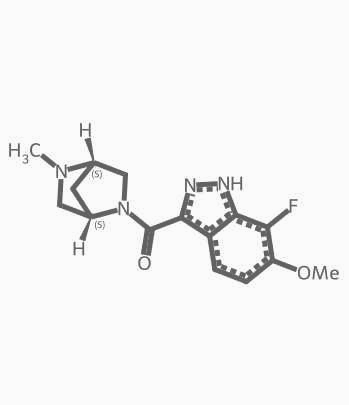 COc1ccc2c(C(=O)N3C[C@@H]4C[C@H]3CN4C)n[nH]c2c1F